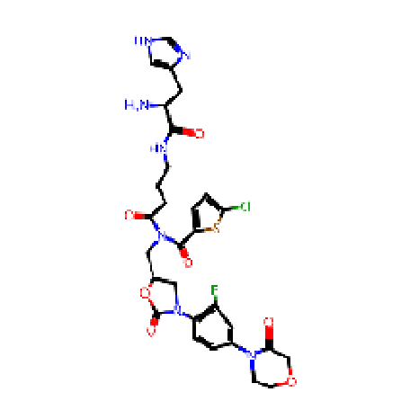 N[C@@H](Cc1c[nH]cn1)C(=O)NCCCC(=O)N(C[C@H]1CN(c2ccc(N3CCOCC3=O)cc2F)C(=O)O1)C(=O)c1ccc(Cl)s1